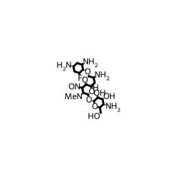 CN[C@@H]1C(O[C@H]2OC(CO)[C@@H](N)C(O)C2O)O[C@H]2CC(N)[C@@H](O[C@@H]3C(N)C[C@@H](N)CC3F)OC2C1N=O